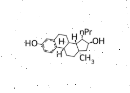 CCC[C@@H]1[C@H]2[C@@H]3CCc4cc(O)ccc4[C@H]3CC[C@]2(C)C[C@@H]1O